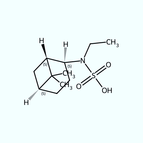 CCN([C@H]1CC[C@H]2C[C@H]1C2(C)C)S(=O)(=O)O